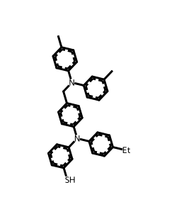 CCc1ccc(N(c2ccc(CN(c3ccc(C)cc3)c3cccc(C)c3)cc2)c2cccc(S)c2)cc1